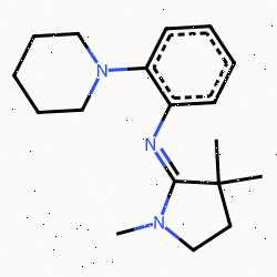 CN1CCC(C)(C)/C1=N\c1ccccc1N1CCCCC1